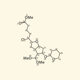 COC(=O)CCCC(Cl)C1CC2C(CC(OC3CCCCO3)C2C(OC)OC)O1